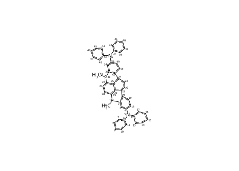 CP1c2cc(N(c3ccccc3)c3ccccc3)ccc2-c2ccc3c4c(ccc1c24)P(C)c1cc(N(c2ccccc2)c2ccccc2)ccc1-3